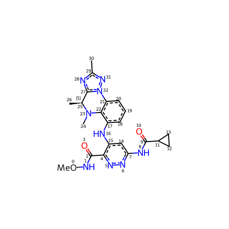 CONC(=O)c1nnc(NC(=O)C2CC2)cc1Nc1cccc2c1N(C)[C@@H](C)c1nc(C)nn1-2